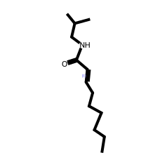 CCCCCC/C=C/C(=O)NCC(C)C